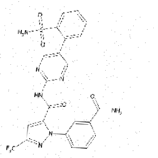 NC(=O)c1cccc(-n2nc(C(F)(F)F)cc2C(=O)Nc2ncc(-c3ccccc3S(N)(=O)=O)cn2)c1